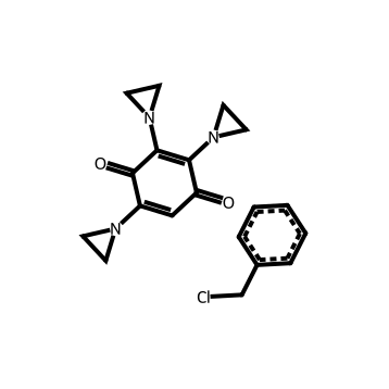 ClCc1ccccc1.O=C1C=C(N2CC2)C(=O)C(N2CC2)=C1N1CC1